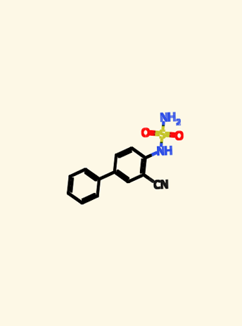 N#Cc1cc(-c2ccccc2)ccc1NS(N)(=O)=O